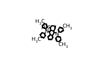 Cc1ccc(N(c2ccc(C)cc2)c2c3c(c(N(c4ccc(C)cc4)c4ccc(C)cc4)c4ccccc24)C(C)CC=C3)cc1